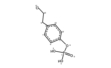 O=P(O)(O)Oc1ccc(CCCl)cc1